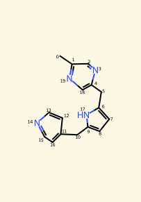 Cc1cnc(Cc2ccc(Cc3ccncc3)[nH]2)cn1